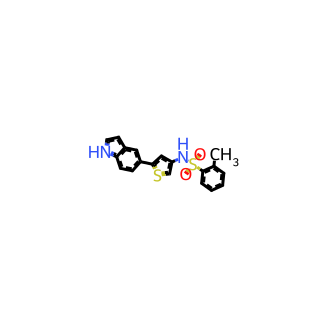 Cc1ccccc1S(=O)(=O)Nc1csc(-c2ccc3[nH]ccc3c2)c1